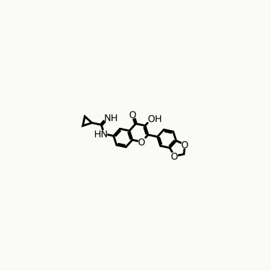 N=C(Nc1ccc2oc(-c3ccc4c(c3)OCO4)c(O)c(=O)c2c1)C1CC1